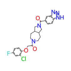 O=C(COc1ccc(F)cc1Cl)N1CCC2CN(C(=O)c3ccc4[nH]nnc4c3)CC2CC1